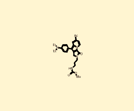 CCN(CC)c1ccc(-c2c3c(n4ccc(C(C)=O)cc24)C(=O)N(CCCNC(=O)OC(C)(C)C)C3)cc1